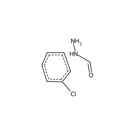 Clc1ccccc1.NNC=O